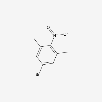 Cc1cc(Br)cc(C)c1[N+](=O)[O-]